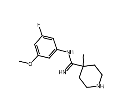 COc1cc(F)cc(NC(=N)C2(C)CCNCC2)c1